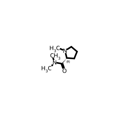 CN(C)C(=O)[C@H]1CCCN1C